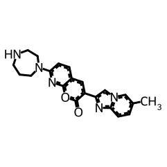 Cc1ccc2nc(-c3cc4ccc(N5CCCNCC5)nc4oc3=O)cn2c1